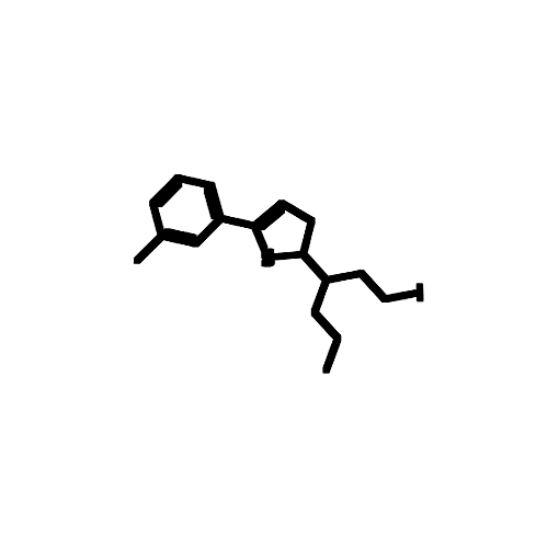 CCCC(CCI)C1CC=C(c2cccc(C)c2)S1